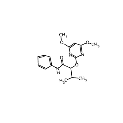 COc1cc(OC)nc(OC(C(=O)Nc2ccccc2)C(C)C)n1